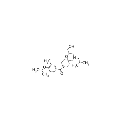 Cc1cc(C(=O)N2CCC3(CC2)CN(CC(C)C)CC(CO)O3)ccc1OC(C)C